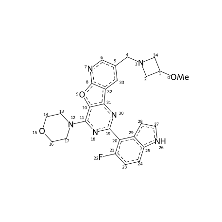 COC1CN(Cc2cnc3oc4c(N5CCOCC5)nc(-c5c(F)ccc6[nH]ccc56)nc4c3c2)C1